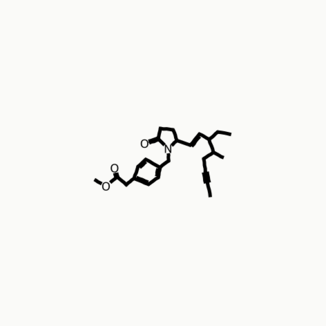 CC#CCC(C)C(/C=C/C1CCC(=O)N1Cc1ccc(CC(=O)OC)cc1)CC